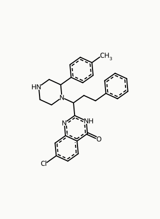 Cc1ccc(C2CNCCN2C(CCc2ccccc2)c2nc3cc(Cl)ccc3c(=O)[nH]2)cc1